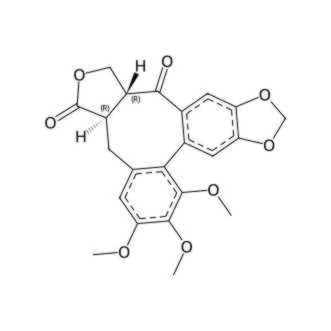 COc1cc2c(c(OC)c1OC)-c1cc3c(cc1C(=O)[C@H]1COC(=O)[C@@H]1C2)OCO3